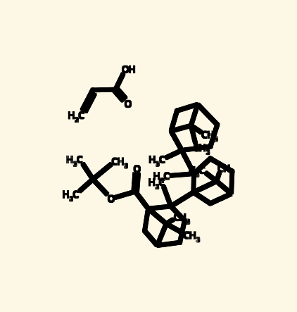 C=CC(=O)O.CC(C)(C)OC(=O)C12CC(CCC1(C)C13CC(CCC1(C)C1(C)CCC4CC1C4(C)C)C3(C)C)C2(C)C